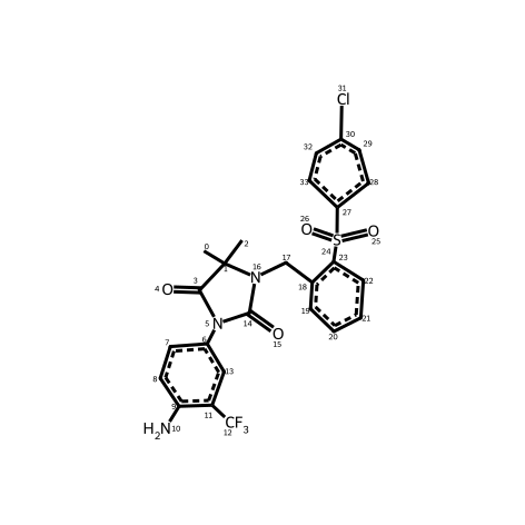 CC1(C)C(=O)N(c2ccc(N)c(C(F)(F)F)c2)C(=O)N1Cc1ccccc1S(=O)(=O)c1ccc(Cl)cc1